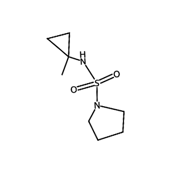 CC1(NS(=O)(=O)N2CCCC2)CC1